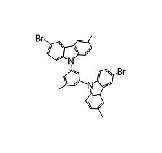 Cc1cc(-n2c3ccc(C)cc3c3cc(Br)ccc32)cc(-n2c3ccc(C)cc3c3cc(Br)ccc32)c1